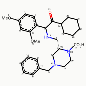 COc1ccc(C(NC[C@H]2CN(Cc3ccccc3)CCN2C(=O)O)C(=O)C2CCCCC2)c(OC)c1